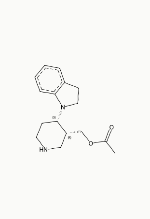 CC(=O)OC[C@@H]1CNCC[C@@H]1N1CCc2ccccc21